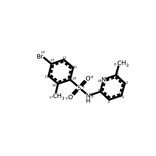 Cc1cccc(NS(=O)(=O)c2ccc(Br)cc2C)n1